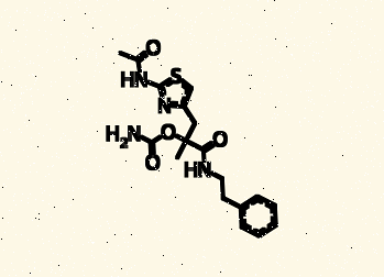 CC(=O)Nc1nc(CC(C)(OC(N)=O)C(=O)NCCc2ccccc2)cs1